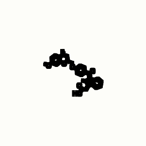 COc1ccc2c(c1)O[C@H](COc1ccc(C(=O)n3c(C)c(CC(=O)O)c4ccccc43)cc1)CN2C